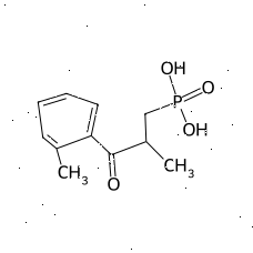 Cc1ccccc1C(=O)C(C)CP(=O)(O)O